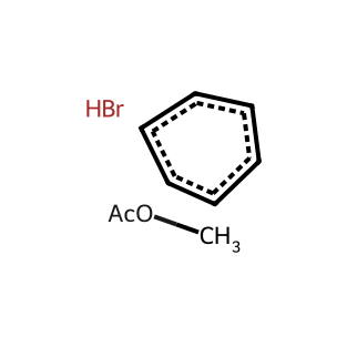 Br.COC(C)=O.c1ccccc1